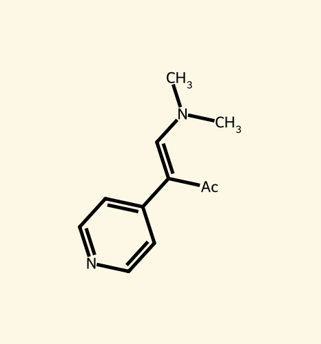 CC(=O)C(=CN(C)C)c1ccncc1